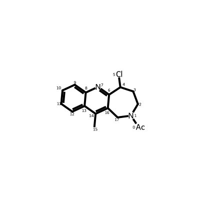 CC(=O)N1CCC(Cl)c2nc3ccccc3c(C)c2C1